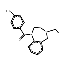 CCN1CCN(C(=O)c2ccc(N)cc2)c2ccccc2C1